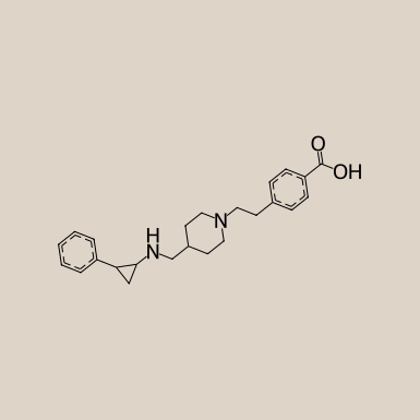 O=C(O)c1ccc(CCN2CCC(CNC3CC3c3ccccc3)CC2)cc1